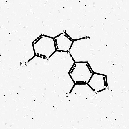 CC(C)c1nc2ccc(C(F)(F)F)nc2n1-c1cc(Cl)c2[nH]ncc2c1